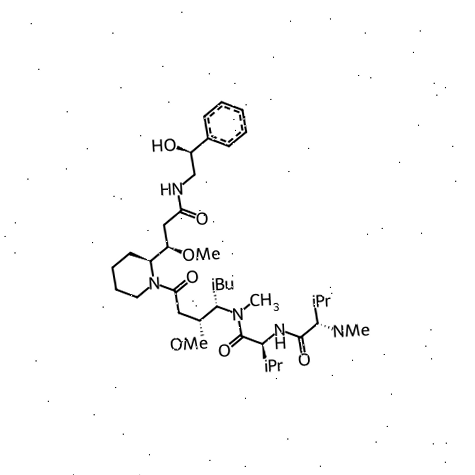 CCC(C)[C@@H]([C@@H](CC(=O)N1CCCC[C@H]1[C@@H](CC(=O)NC[C@@H](O)c1ccccc1)OC)OC)N(C)C(=O)[C@@H](NC(=O)[C@@H](NC)C(C)C)C(C)C